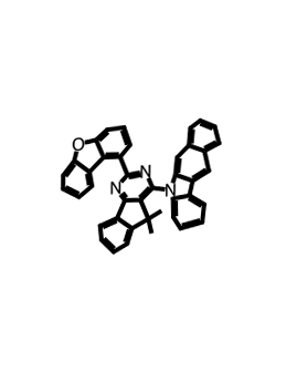 CC1(C)c2ccccc2-c2nc(-c3cccc4oc5ccccc5c34)nc(-n3c4ccccc4c4cc5ccccc5cc43)c21